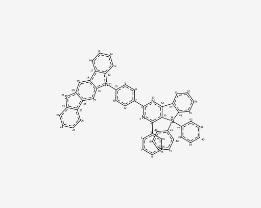 c1ccc(-c2nc(-c3ccc(-n4c5ccccc5c5cc6sc7ccccc7c6cc54)cc3)nc3c2[Si](c2ccccc2)(c2ccccc2)c2ccccc2-3)cc1